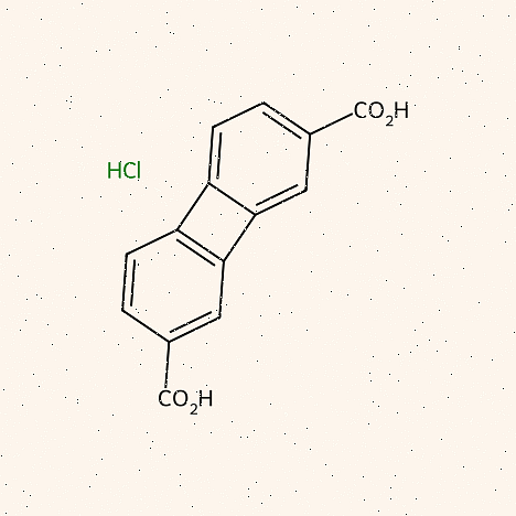 Cl.O=C(O)c1ccc2c(c1)-c1cc(C(=O)O)ccc1-2